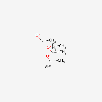 CC.CC[O-].CC[O-].CC[O-].[Al+3]